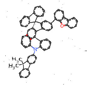 CC1(C)c2ccccc2-c2ccc(N(c3ccccc3)c3ccccc3-c3cccc4c3-c3ccc(-c5cccc6c5oc5ccccc56)cc3C43c4ccccc4-c4ccccc43)cc21